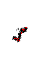 CC(C)(C)OC(=O)N(CCc1cn(CCNc2nc3cc(C(N)=O)ccc3c3cnccc23)cn1)Cc1ccc(-c2ccccc2)c(Cl)c1